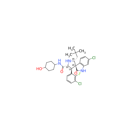 CC(C)(C)C[C@H]1N[C@@H](C(=O)NC2CCC(O)CC2)[C@H](c2cccc(Cl)c2F)[C@]12C(=O)Nc1cc(Cl)ccc12